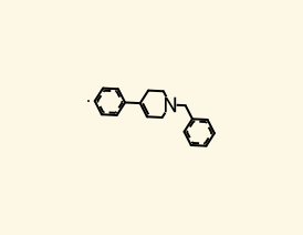 [c]1ccc(C2=CCN(Cc3ccccc3)CC2)cc1